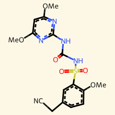 COc1cc(OC)nc(NC(=O)NS(=O)(=O)c2cc(CC#N)ccc2OC)n1